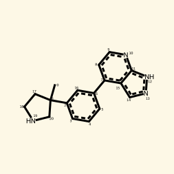 CC1(c2cccc(-c3ccnc4[nH]ncc34)c2)CCNC1